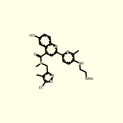 CCc1onc(CN(C)C(=O)c2cc(-c3ccc(NCCNC)c(C)n3)nc3ccc(O)cc23)c1C